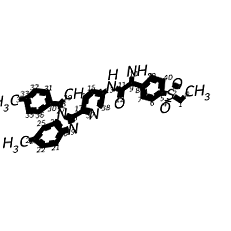 CCS(=O)(=O)c1ccc(C(N)C(=O)Nc2ccc(-c3nc4ccc(C)cc4n3C(C)c3ccc(C)cc3)nc2)cc1